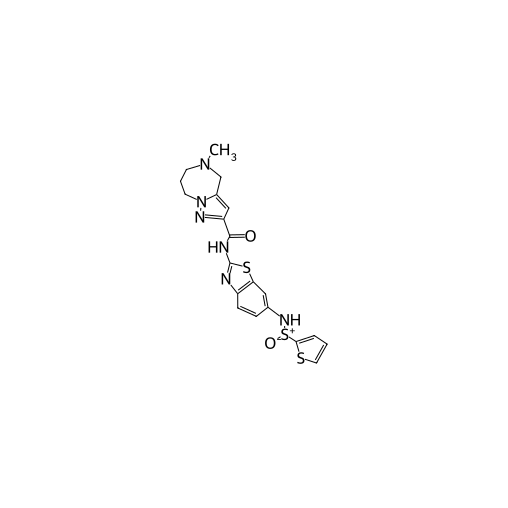 CN1CCCn2nc(C(=O)Nc3nc4ccc(N[S+]([O-])c5cccs5)cc4s3)cc2C1